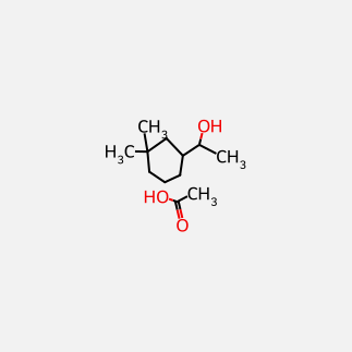 CC(=O)O.CC(O)C1CCCC(C)(C)C1